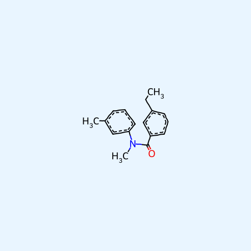 CCc1cccc(C(=O)N(C)c2cccc(C)c2)c1